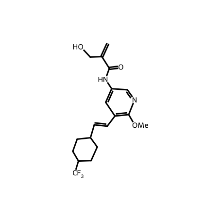 C=C(CO)C(=O)Nc1cnc(OC)c(C=CC2CCC(C(F)(F)F)CC2)c1